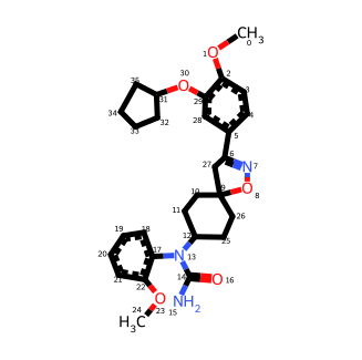 COc1ccc(C2=NOC3(CCC(N(C(N)=O)c4ccccc4OC)CC3)C2)cc1OC1CCCC1